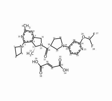 Cc1nc2c(c(N3CCC3)n1)[C@@H](C)N(C(=O)[C@@H]1CCN(c3ccnc(OC(F)F)c3)C1)C2.O=C(O)/C=C/C(=O)O